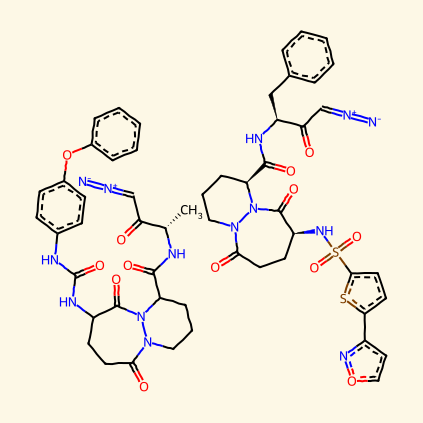 C[C@H](NC(=O)C1CCCN2C(=O)CCC(NC(=O)Nc3ccc(Oc4ccccc4)cc3)C(=O)N12)C(=O)C=[N+]=[N-].[N-]=[N+]=CC(=O)[C@H](Cc1ccccc1)NC(=O)[C@@H]1CCCN2C(=O)CC[C@H](NS(=O)(=O)c3ccc(-c4ccon4)s3)C(=O)N12